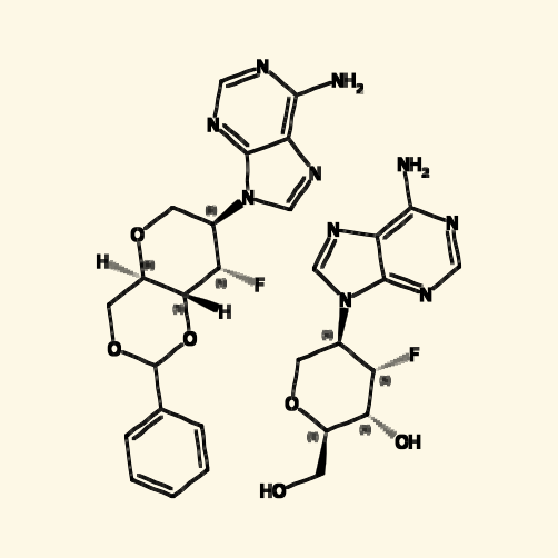 Nc1ncnc2c1ncn2[C@@H]1CO[C@@H]2COC(c3ccccc3)O[C@H]2[C@H]1F.Nc1ncnc2c1ncn2[C@@H]1CO[C@H](CO)[C@@H](O)[C@H]1F